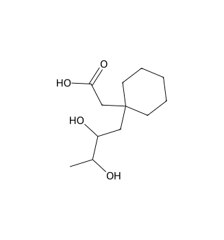 CC(O)C(O)CC1(CC(=O)O)CCCCC1